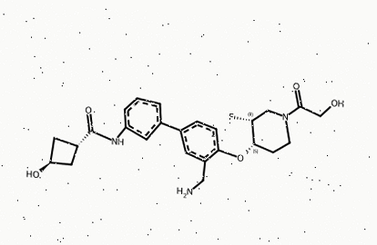 NCc1cc(-c2cccc(NC(=O)[C@H]3C[C@H](O)C3)c2)ccc1O[C@H]1CCN(C(=O)CO)C[C@H]1F